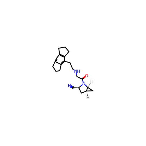 N#C[C@@H]1C[C@@H]2C[C@@H]2N1C(=O)CNCCc1c2c(cc3c1CCC3)CCC2